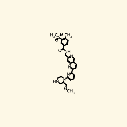 COCC1CNCCN1c1cccc(-c2ccc3cnc(CNC(=O)c4ccc(C)c(S(C)(=O)=O)c4)cc3n2)n1